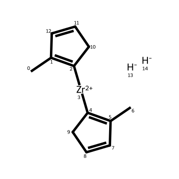 CC1=[C]([Zr+2][C]2=C(C)C=CC2)CC=C1.[H-].[H-]